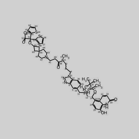 CN(CCCn1nnc2cc(CNC[C@H](O[Si](C)(C)C(C)(C)C)c3ccc(O)c4[nH]c(=O)ccc34)ccc21)C(=O)CCN1CCC2(CC1)CC(OC(C(=O)O)(c1cccs1)c1cccs1)C2